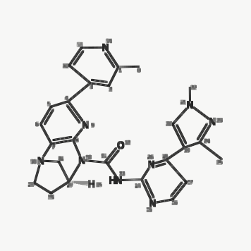 Cc1cc(-c2ccc3c(n2)N(C(=O)Nc2nccc(-c4cn(C)nc4C)n2)[C@H]2CCN3C2)ccn1